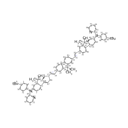 CC(C)(C)c1ccc(N(c2ccc3c(c2)C(C)(C)C2=CC(/C=C/c4ccc5c(c4)C(C)(C)c4cc(/C=C/c6ccc7c(c6)C(C)(C)c6cc(N(c8ccc(C(C)(C)C)cc8)c8ccccn8)ccc6-7)ccc4-5)CC=C23)c2ccccn2)cc1